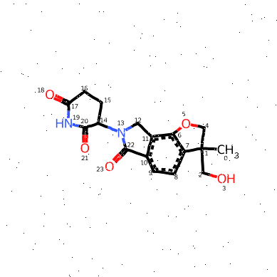 CC1(CO)COc2c1ccc1c2CN(C2CCC(=O)NC2=O)C1=O